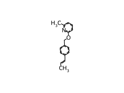 C/C=C/c1ccc(COc2cccc(C)n2)cc1